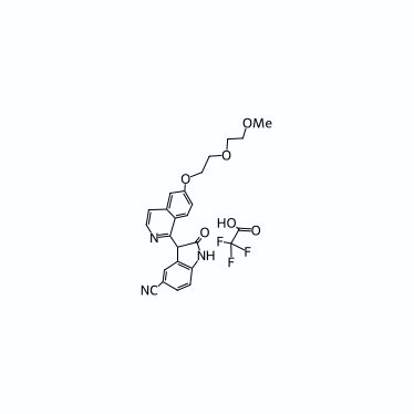 COCCOCCOc1ccc2c(C3C(=O)Nc4ccc(C#N)cc43)nccc2c1.O=C(O)C(F)(F)F